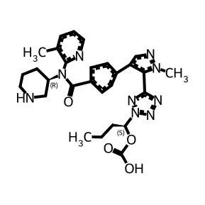 CCC[C@H](OC(=O)O)n1nnc(-c2c(-c3ccc(C(=O)N(c4ncccc4C)[C@@H]4CCCNC4)cc3)cnn2C)n1